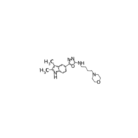 Cc1[nH]c2ccc(-c3nnc(NCCCCN4CCOCC4)o3)cc2c1C